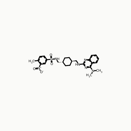 Cc1ccc(S(=O)(=O)NC[C@H]2CC[C@H](CNc3nc(N(C)C)c4ccccc4n3)CC2)cc1[N+](=O)[O-]